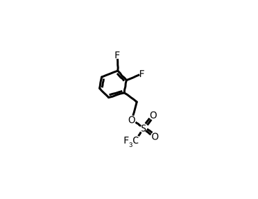 O=S(=O)(OCc1cccc(F)c1F)C(F)(F)F